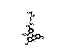 CC(=O)NCCNC(=S)Nc1ccc(-c2c3ccc(=O)cc-3oc3cc(O)ccc23)c(C(=O)O)c1